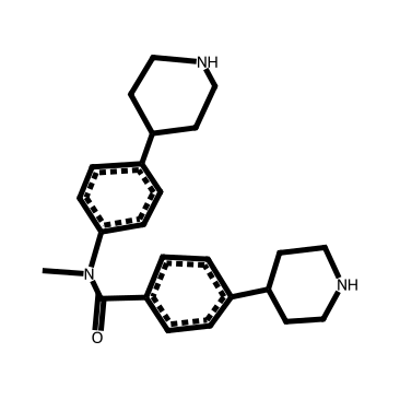 CN(C(=O)c1ccc(C2CCNCC2)cc1)c1ccc(C2CCNCC2)cc1